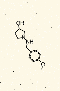 COc1ccc(CNN2CCC(O)C2)cc1